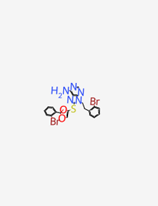 Nc1ncnc2c1nc(SC1=COC(c3ccccc3Br)O1)n2CCc1ccccc1Br